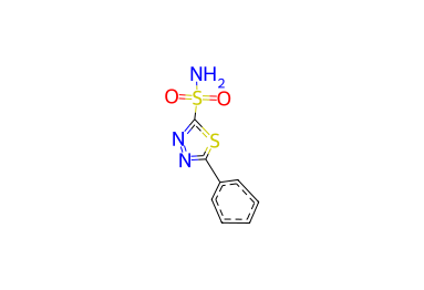 NS(=O)(=O)c1nnc(-c2ccccc2)s1